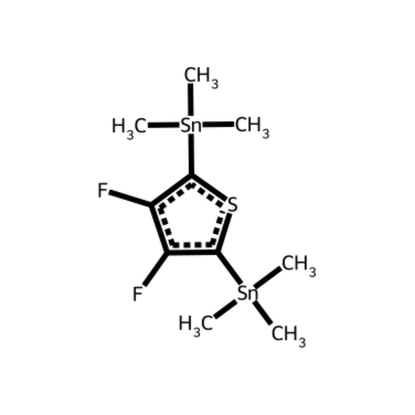 [CH3][Sn]([CH3])([CH3])[c]1s[c]([Sn]([CH3])([CH3])[CH3])c(F)c1F